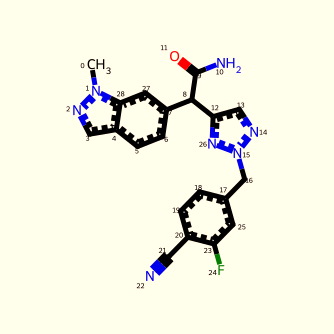 Cn1ncc2ccc(C(C(N)=O)c3cnn(Cc4ccc(C#N)c(F)c4)n3)cc21